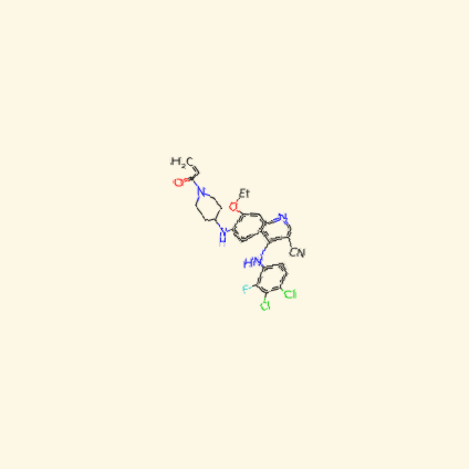 C=CC(=O)N1CCC(Nc2cc3c(Nc4ccc(Cl)c(Cl)c4F)c(C#N)cnc3cc2OCC)CC1